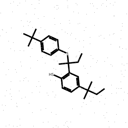 CCC(C)(C)c1ccc(S)c(C(C)(CC)Sc2ccc(C(C)(C)C)cc2)c1